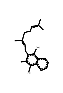 CC(C)=CCC/C(C)=C/Cc1c(C)c(O)c2ccccc2c1O